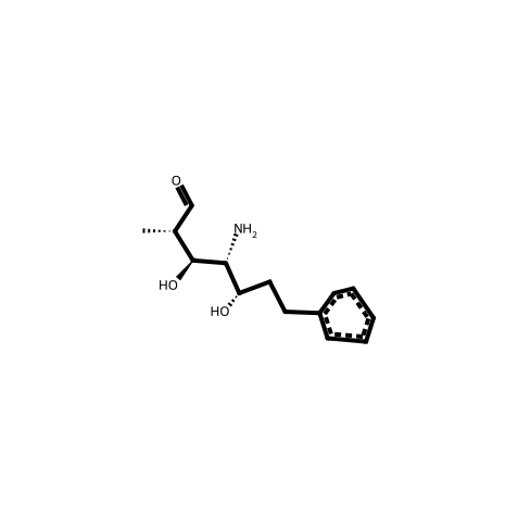 C[C@H](C=O)[C@H](O)[C@H](N)[C@@H](O)CCc1ccccc1